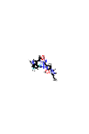 COc1nc(C2=NOCC(c3cn(C)c4cc(F)cc(F)c34)N2)ccc1-n1cnc(C)c1